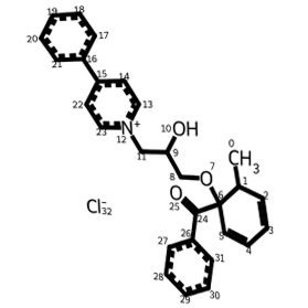 CC1C=CC=CC1(OCC(O)C[n+]1ccc(-c2ccccc2)cc1)C(=O)c1ccccc1.[Cl-]